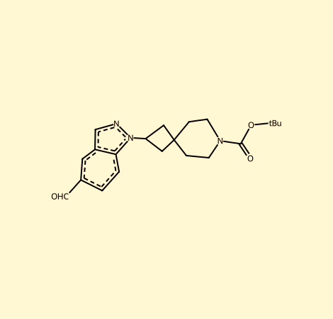 CC(C)(C)OC(=O)N1CCC2(CC1)CC(n1ncc3cc(C=O)ccc31)C2